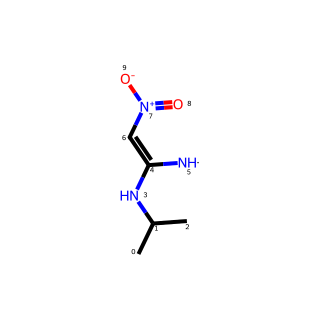 CC(C)NC([NH])=C[N+](=O)[O-]